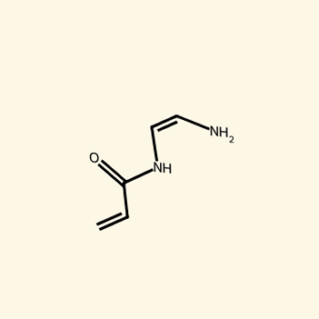 C=CC(=O)N/C=C\N